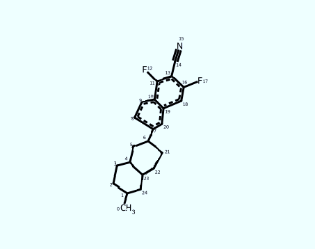 CC1CCC2CC(c3ccc4c(F)c(C#N)c(F)cc4c3)CCC2C1